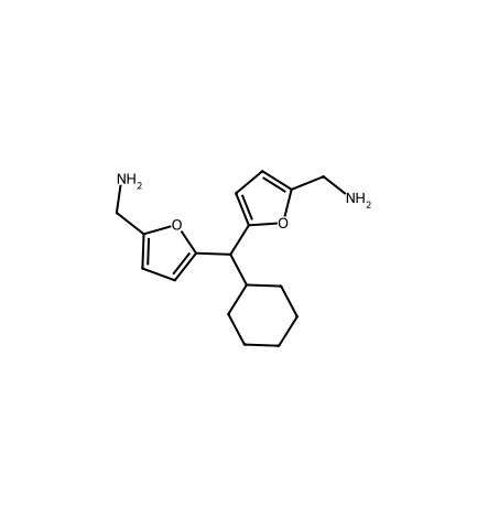 NCc1ccc(C(c2ccc(CN)o2)C2CCCCC2)o1